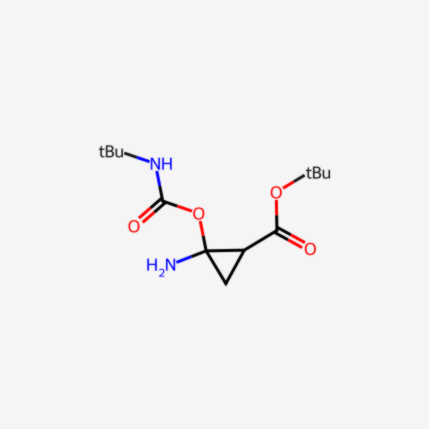 CC(C)(C)NC(=O)OC1(N)CC1C(=O)OC(C)(C)C